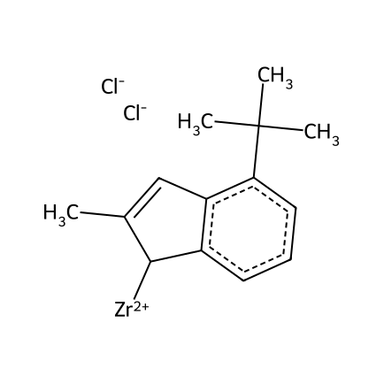 CC1=Cc2c(cccc2C(C)(C)C)[CH]1[Zr+2].[Cl-].[Cl-]